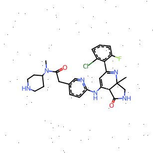 CN(C(=O)Cc1ccc(NC2=CC(c3c(F)cccc3Cl)=NC3(C)CNC(=O)C23)nc1)C1CCNCC1